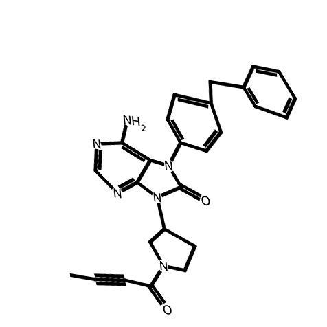 CC#CC(=O)N1CCC(n2c(=O)n(-c3ccc(Cc4ccccc4)cc3)c3c(N)ncnc32)C1